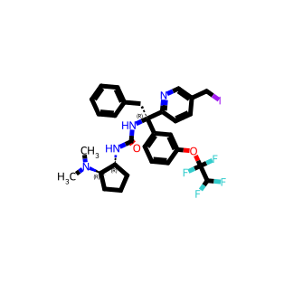 CN(C)[C@@H]1CCC[C@H]1NC(=O)N[C@](Cc1ccccc1)(c1cccc(OC(F)(F)C(F)F)c1)c1ccc(CI)cn1